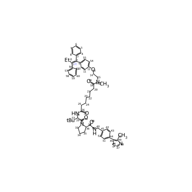 CC/C(=C(\c1ccccc1)c1ccc(OCCN(C)C(=O)CCCCCCC(=O)NC(C(=O)N2CCCC2C(=O)NCc2ccc(-c3scnc3C)cc2)C(C)(C)C)cc1)c1ccccc1